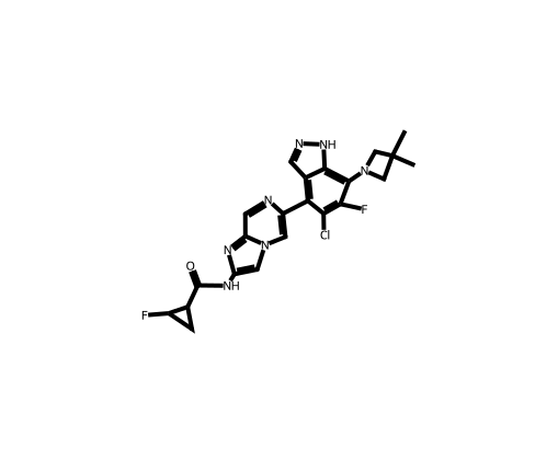 CC1(C)CN(c2c(F)c(Cl)c(-c3cn4cc(NC(=O)C5CC5F)nc4cn3)c3cn[nH]c23)C1